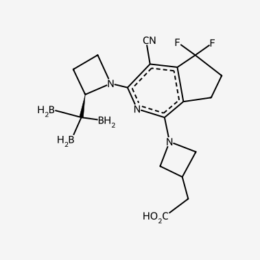 BC(B)(B)[C@H]1CCN1c1nc(N2CC(CC(=O)O)C2)c2c(c1C#N)C(F)(F)CC2